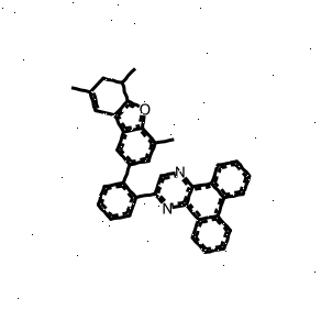 CC1=Cc2c(oc3c(C)cc(-c4ccccc4-c4cnc5c6ccccc6c6ccccc6c5n4)cc23)C(C)C1